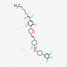 C=CCCCC/C(F)=C(\F)c1cc(F)c(C2CCC(/C=C/C3CCC(C(F)(F)OC4CCC(c5cc(F)c(F)c(F)c5)CC4)CC3)OC2)c(F)c1